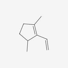 C=CC1=C(C)CCC1C